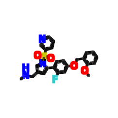 CNCc1cc(-c2ccc(OCc3ccccc3OC)cc2F)n(S(=O)(=O)c2cccnc2)c1